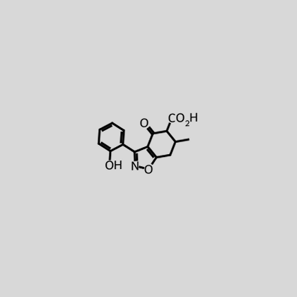 CC1Cc2onc(-c3ccccc3O)c2C(=O)C1C(=O)O